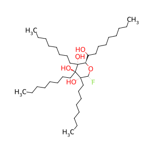 CCCCCCCCC(O)[C@H]1O[C@H](F)[C@@](O)(CCCCCCCC)[C@](O)(CCCCCCCC)[C@@]1(O)CCCCCCCC